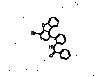 O=C(Nc1ccccc1-c1ccc(Br)c2oc3ccccc3c12)c1ccccc1